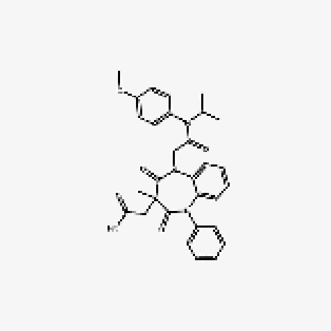 COc1ccc(N(C(=O)CN2C(=O)C(C)(CC(=O)O)C(=O)N(c3ccccc3)c3ccccc32)C(C)C)cc1